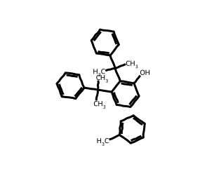 CC(C)(c1ccccc1)c1cccc(O)c1C(C)(C)c1ccccc1.Cc1ccccc1